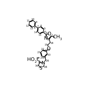 Cc1oc(-c2ccc(-c3ccccc3)cc2)nc1CCOc1cccc(CN2CSCC2C(=O)O)c1